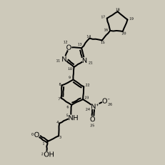 O=C(O)CCNc1ccc(-c2noc(CCC3CCCC3)n2)cc1[N+](=O)[O-]